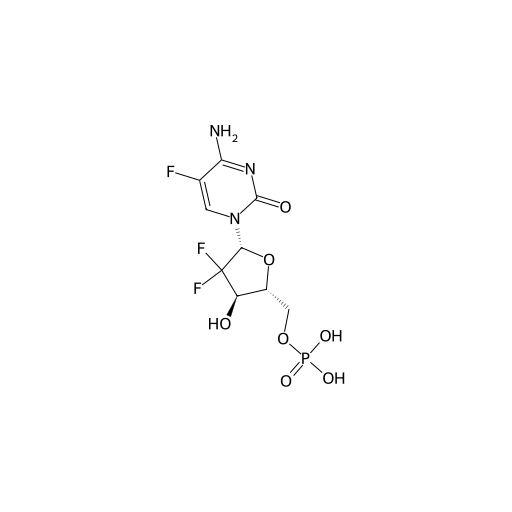 Nc1nc(=O)n([C@@H]2O[C@H](COP(=O)(O)O)[C@@H](O)C2(F)F)cc1F